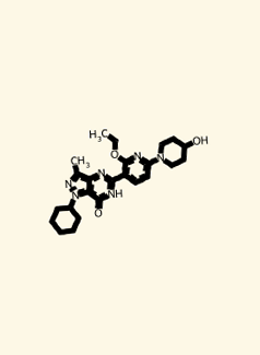 CCOc1nc(N2CCC(O)CC2)ccc1-c1nc2c(C)nn(C3CCCCC3)c2c(=O)[nH]1